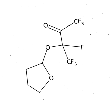 O=C(C(F)(F)F)C(F)(OC1CCCO1)C(F)(F)F